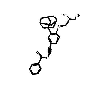 O=C(OC#Cc1ccc(OCC(O)CO)c(C23CC4CC(CC(C4)C2)C3)c1)c1ccccc1